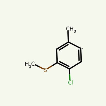 CSc1cc(C)[c]cc1Cl